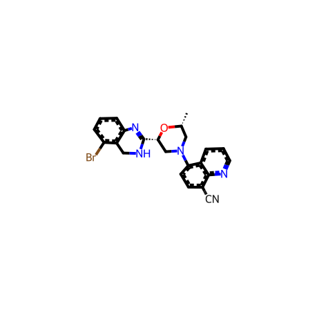 C[C@@H]1CN(c2ccc(C#N)c3ncccc23)C[C@H](C2=Nc3cccc(Br)c3CN2)O1